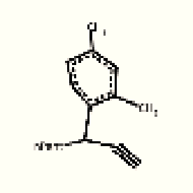 [C]#CC(CCCCC)c1ccc(C)cc1C